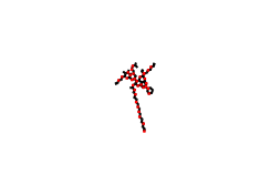 C=CCCCCCCCCCCCCCCCCC(C)CC(CCCC(CCCCCC=C)C1CCCCC1)=C(C(CCCCCC(C)C)CC(C)C(C)C(C)C(C)CCCCC=C)C(CCCCCCCC=C)c1ccccc1